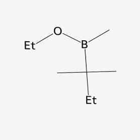 CCOB(C)C(C)(C)CC